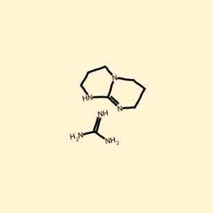 C1CN=C2NCCCN2C1.N=C(N)N